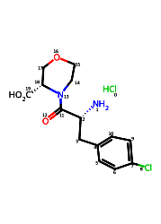 Cl.N[C@H](Cc1ccc(Cl)cc1)C(=O)N1CCOC[C@H]1C(=O)O